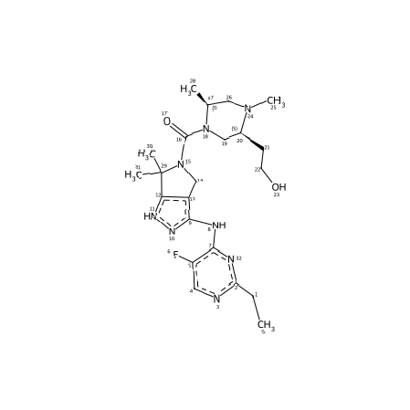 CCc1ncc(F)c(Nc2n[nH]c3c2CN(C(=O)N2C[C@H](CCO)N(C)C[C@@H]2C)C3(C)C)n1